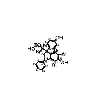 O=C(O)O.Oc1ccc(C(COc2ccccc2)(c2c(Br)c(Br)c(O)c(Br)c2Br)C(Br)(Br)Br)cc1